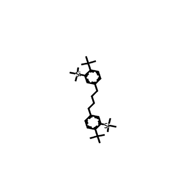 CC(C)(C)c1ccc(CCCCc2ccc(C(C)(C)C)c([Si](C)(C)C)c2)cc1[Si](C)(C)C